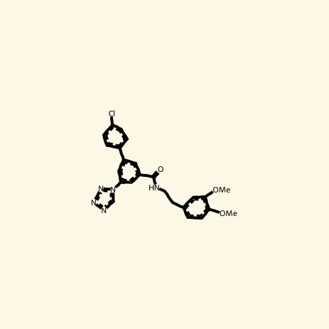 COc1ccc(CCNC(=O)c2cc(-c3ccc(Cl)cc3)cc(-n3cnnn3)c2)cc1OC